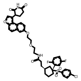 O=C(CC[C@@H]1CCC[C@@](c2cc(F)ccc2F)(S(=O)(=O)c2ccc(Cl)cc2)C1)NCCOCCOc1ccc2c(ccc3occ(C4CCC(=O)NC4=O)c32)c1